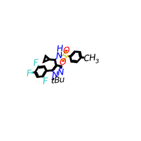 Cc1ccc(S(=O)(=O)N[C@@H](c2cnn(C(C)(C)C)c2-c2cc(F)c(F)cc2F)C2CC2)cc1